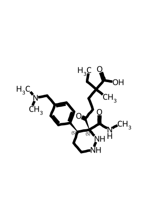 CCC(C)(CCC(=O)[C@@]1(C(=O)NC)NNCC[C@H]1c1ccc(CN(C)C)cc1)C(=O)O